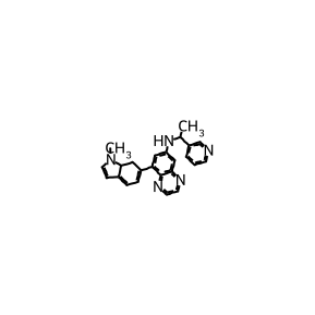 CC(Nc1cc(C2=CC=C3C=CN(C)C3C2)c2nccnc2c1)c1cccnc1